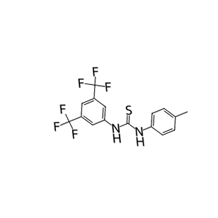 Cc1ccc(NC(=S)Nc2cc(C(F)(F)F)cc(C(F)(F)F)c2)cc1